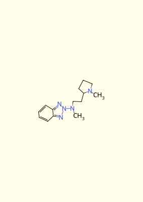 CN1CCCC1CCN(C)n1nc2ccccc2n1